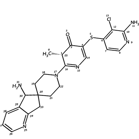 C[C@@H]1C(=O)C(Sc2ccnc(N)c2Cl)=CN=C1N1CCC2(CC1)Cc1ncccc1C2N